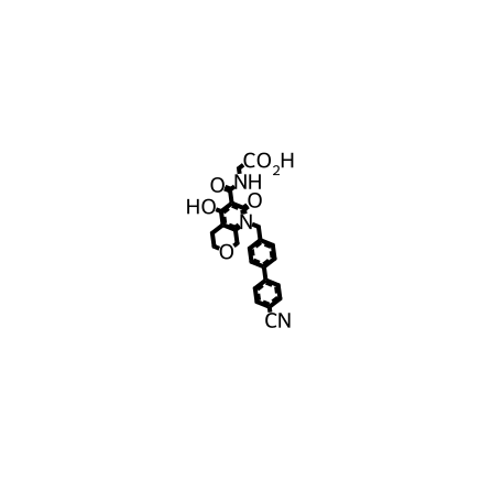 N#Cc1ccc(-c2ccc(Cn3c4c(c(O)c(C(=O)NCC(=O)O)c3=O)CCOC4)cc2)cc1